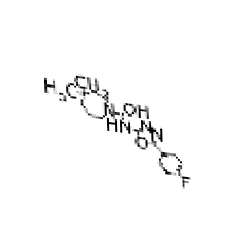 CC1(C)CCCN(C(O)Nc2nnc(-c3ccc(F)cc3)o2)CC1